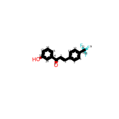 O=C(C=Cc1ccc(C(F)(F)F)cc1)c1cccc(O)c1